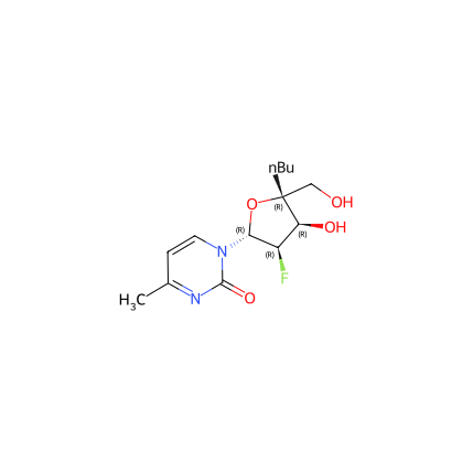 CCCC[C@]1(CO)O[C@@H](n2ccc(C)nc2=O)[C@H](F)[C@@H]1O